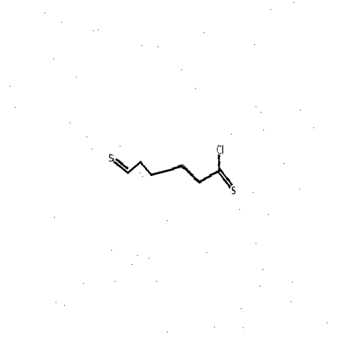 S=CCCCCC(=S)Cl